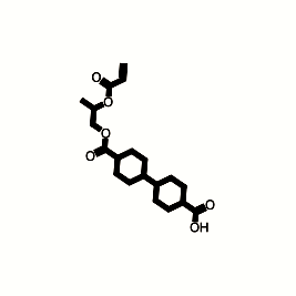 C=CC(=O)OC(C)COC(=O)C1CCC(C2CCC(C(=O)O)CC2)CC1